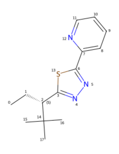 CC[C@H](c1nnc(-c2ccccn2)s1)C(C)(C)C